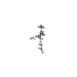 CC(C)(C)NC(=O)[C@@H]1CN(c2cc(N)nc(NC[C@H]3CC[C@H](CNCCCNC4CCCCC4)CC3)n2)CCN1CCCP(=O)(O)O